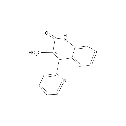 O=C(O)c1c(-c2ccccn2)c2ccccc2[nH]c1=O